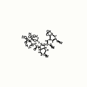 COc1ccc(C#N)cc1C=C(C#N)c1cn(C(=O)CC(C)N(C(=O)O)C(C)(C)C)c2ccc(Br)cc12